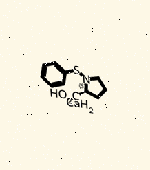 O=C(O)[C@@H]1CCCN1Sc1ccccc1.[CaH2]